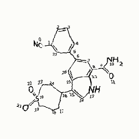 N#Cc1cccc(-c2cc(C(N)=O)c3[nH]cc(C4CCCS(=O)(=O)CC4)c3c2)c1